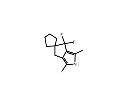 Cc1[nH]c(C)c2c1CC1(CCCC1)C2(F)F